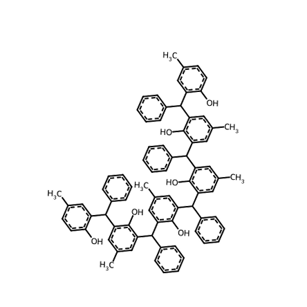 Cc1ccc(O)c(C(c2ccccc2)c2cc(C)cc(C(c3ccccc3)c3cc(C)cc(C(c4ccccc4)c4cc(C)cc(C(c5ccccc5)c5cc(C)cc(C(c6ccccc6)c6cc(C)ccc6O)c5O)c4O)c3O)c2O)c1